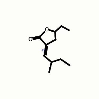 CCC(C)/C=C1\CC(CC)OC1=O